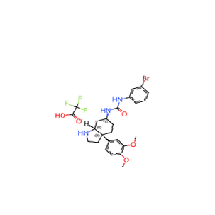 COc1ccc([C@@]23CCN[C@@H]2C[C@@H](NC(=O)Nc2cccc(Br)c2)CC3)cc1OC.O=C(O)C(F)(F)F